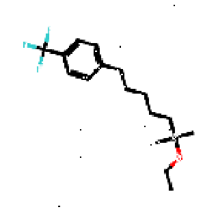 CCO[Si](C)(C)CCCCCc1ccc(C(F)(F)F)cc1